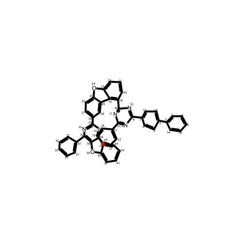 c1ccc(-c2ccc(-c3nc(-c4ccccc4)nc(-c4cccc5oc6ccc(-c7nc(-c8ccccc8)c8oc9ccccc9c8n7)cc6c45)n3)cc2)cc1